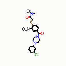 CCN(C)C(=O)CSc1ccc(C(=O)N2CCN(c3cccc(Cl)c3)CC2)cc1[N+](=O)[O-]